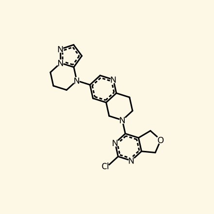 Clc1nc2c(c(N3CCc4ncc(N5CCCn6nccc65)cc4C3)n1)COC2